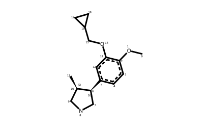 COc1ccc([C@H]2C[N]C[C@H]2C)cc1OCC1CC1